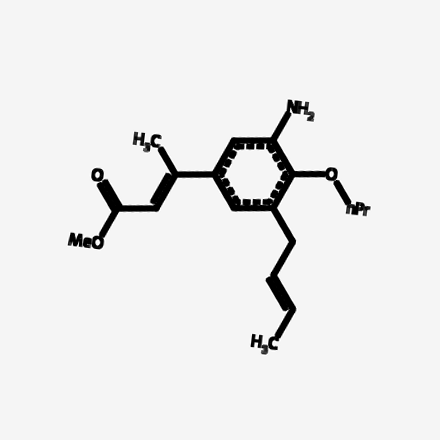 CC=CCc1cc(C(C)=CC(=O)OC)cc(N)c1OCCC